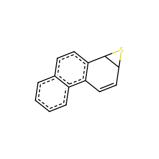 C1=CC2SC2c2ccc3ccccc3c21